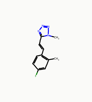 Cc1cc(F)ccc1/C=C/c1nnnn1C